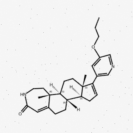 CCCOc1cncc(C2=CC[C@H]3[C@@H]4CCC5=CC(=O)NCC[C@]5(C)[C@H]4CC[C@]23C)c1